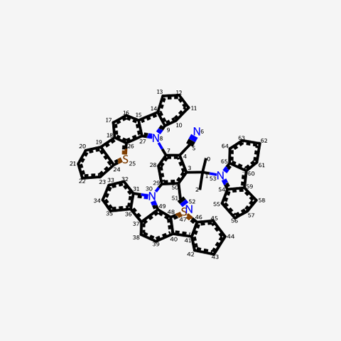 CC(C)(c1c(C#N)c(-n2c3ccccc3c3ccc4c5ccccc5sc4c32)cc(-n2c3ccccc3c3ccc4c5ccccc5sc4c32)c1C#N)n1c2ccccc2c2ccccc21